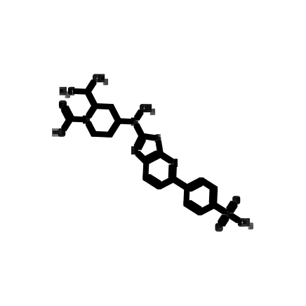 CC(C)C1CC(N(C)c2nc3ccc(-c4ccc(S(C)(=O)=O)cc4)nc3s2)CCN1C(=O)O